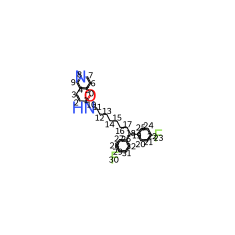 O=C(/C=C\c1cccnc1)NCCCCCCCC(c1ccc(F)cc1)c1ccc(F)cc1